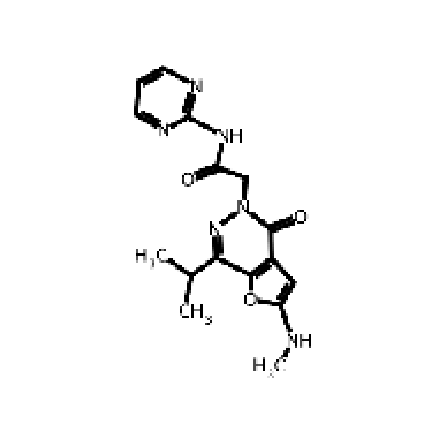 CNc1cc2c(=O)n(CC(=O)Nc3ncccn3)nc(C(C)C)c2o1